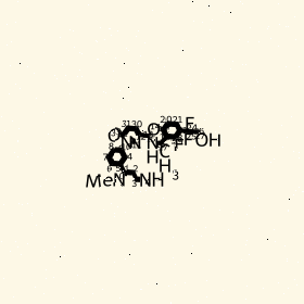 CN/C(=C\C=N)c1cccc(-n2nc(C(=O)N[C@H](C)c3cccc(C(F)(F)CO)c3F)ccc2=O)c1